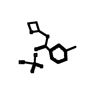 Cc1cccc(C(=O)OC2CCO2)c1.O=S(=O)(O)Cl